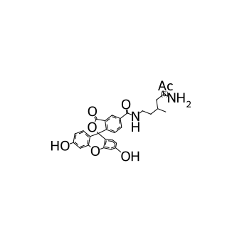 CC(=O)[C@@H](N)CC(C)CCNC(=O)c1ccc2c(c1)C(=O)OC21c2ccc(O)cc2Oc2cc(O)ccc21